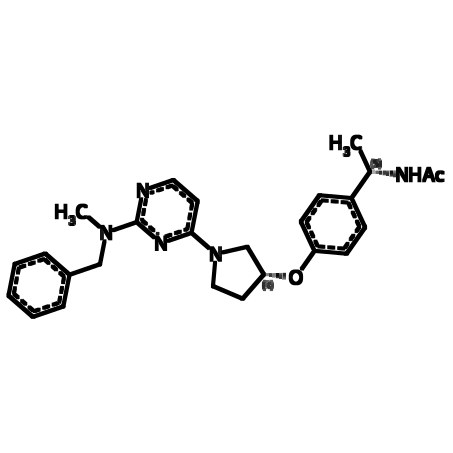 CC(=O)N[C@@H](C)c1ccc(O[C@@H]2CCN(c3ccnc(N(C)Cc4ccccc4)n3)C2)cc1